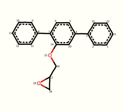 c1ccc(-c2ccc(-c3ccccc3)c(OCC3CO3)c2)cc1